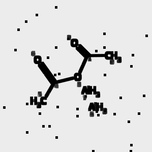 CC(=O)OC(C)=O.[AlH3].[AlH3]